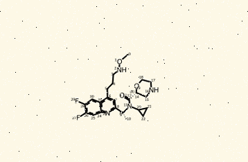 CONCCCc1cc([C@@H](C)N(C(=O)[C@H]2CNCCO2)C2CC2)nc2cc(F)c(F)cc12